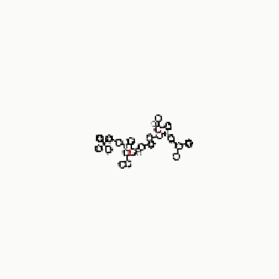 c1ccc(-c2cc(-c3ccccc3)cc(-c3ccc(N(c4ccc(-c5cccc6c(-c7ccc8c(c7)oc7cccc(-c9ccccc9N(c9ccc(-c%10cccc%11c%10-c%10ccccc%10C%11(c%10ccccc%10)c%10ccccc%10)cc9)c9ccc(-c%10cccc%11ccccc%10%11)cc9)c78)cccc56)cc4)c4ccccc4-c4cccc5oc6ccccc6c45)cc3)c2)cc1